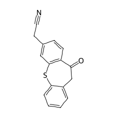 N#CCc1ccc2c(c1)Sc1ccccc1CC2=O